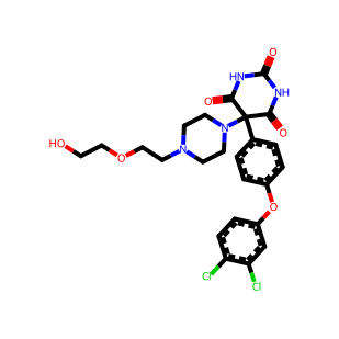 O=C1NC(=O)C(c2ccc(Oc3ccc(Cl)c(Cl)c3)cc2)(N2CCN(CCOCCO)CC2)C(=O)N1